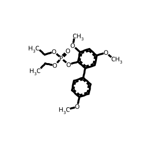 CCOP(=O)(OCC)Oc1c(OC)cc(OC)cc1-c1ccc(OC)cc1